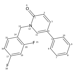 O=c1ccc(-c2ccccc2)cn1Cc1ccc(F)cc1F